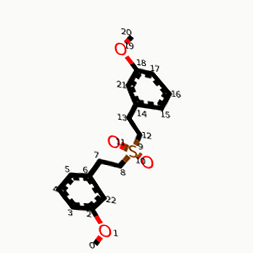 COc1cccc(CCS(=O)(=O)CCc2cccc(OC)c2)c1